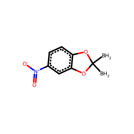 BC1(B)Oc2ccc([N+](=O)[O-])cc2O1